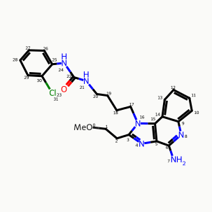 COCCc1nc2c(N)nc3ccccc3c2n1CCCCNC(=O)Nc1ccccc1Cl